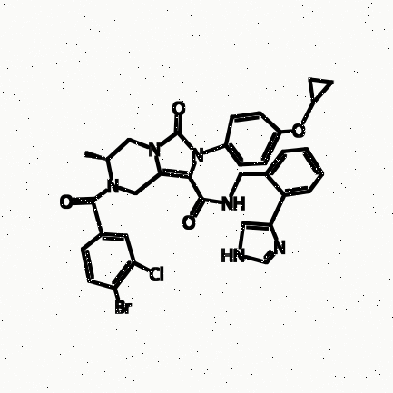 C[C@H]1Cn2c(c(C(=O)NCc3ccccc3-c3c[nH]cn3)n(-c3ccc(OC4CC4)cc3)c2=O)CN1C(=O)c1ccc(Br)c(Cl)c1